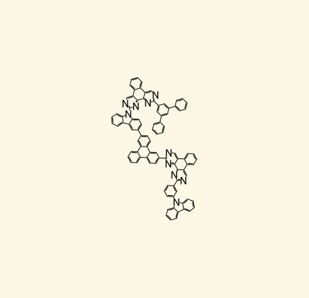 c1ccc(-c2cc(-c3ccccc3)cc(-c3ncc4c5ccccc5c5cnc(-n6c7ccccc7c7cc(-c8ccc9c(c8)c8ccccc8c8ccc(-c%10ncc%11c%12ccccc%12c%12cnc(-c%13cccc(-n%14c%15ccccc%15c%15ccccc%15%14)c%13)nc%12c%11n%10)cc89)ccc76)nc5c4n3)c2)cc1